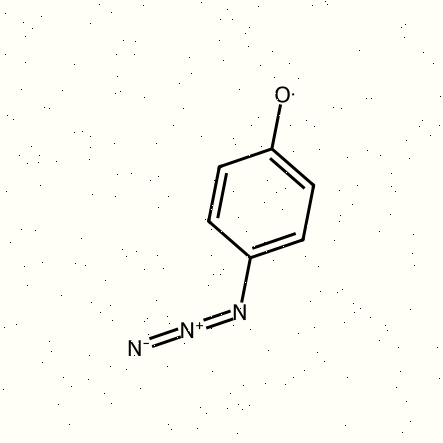 [N-]=[N+]=Nc1ccc([O])cc1